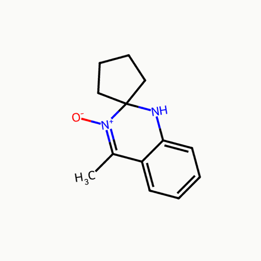 CC1=[N+]([O-])C2(CCCC2)Nc2ccccc21